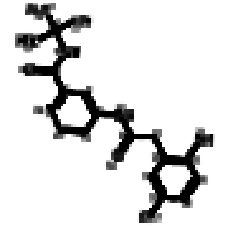 CCCC(C)(C)NC(=O)c1cc(NC(=O)Cc2cc(Cl)ccc2O)ccn1